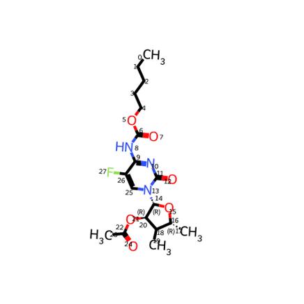 CCCCCOC(=O)Nc1nc(=O)n([C@@H]2O[C@H](C)C(C)[C@H]2OC(C)=O)cc1F